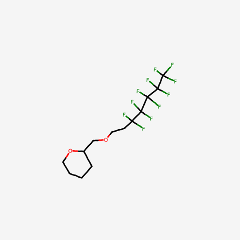 FC(F)(F)C(F)(F)C(F)(F)C(F)(F)C(F)(F)CCOCC1CCCCO1